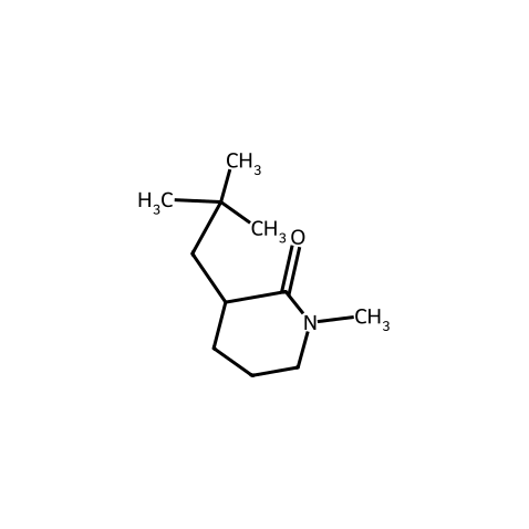 CN1CCCC(CC(C)(C)C)C1=O